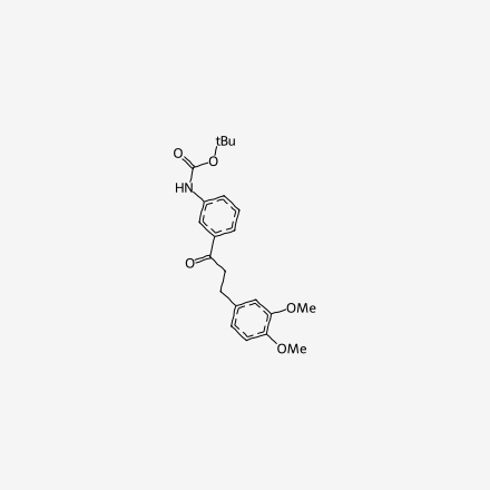 COc1ccc(CCC(=O)c2cccc(NC(=O)OC(C)(C)C)c2)cc1OC